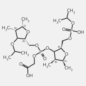 CC(C)OC1[C@@H](COP(=O)(OCC(=O)O)OC2[C@@H](COP(=O)(O)OC(C)C)O[C@@H](C)[C@H]2C)O[C@@H](C)[C@H]1C